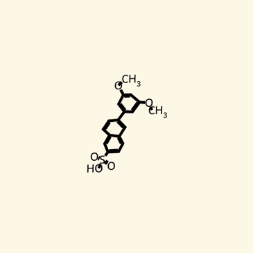 COc1cc(OC)cc(-c2ccc3cc(S(=O)(=O)O)ccc3c2)c1